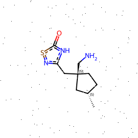 C[C@H]1CC[C@@](CN)(Cc2nsc(=O)[nH]2)C1